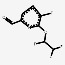 O=Cc1ccc(F)c(OC(F)C(F)F)n1